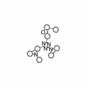 c1ccc(-c2cccc3oc4cc(-c5nc(-c6ccc7c8ccccc8n(-c8ccccc8)c7c6)nc(-n6c7ccccc7c7ccccc76)n5)ccc4c23)cc1